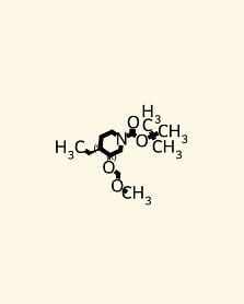 CC[C@H]1CCN(C(=O)OC(C)(C)C)C[C@@H]1OCOC